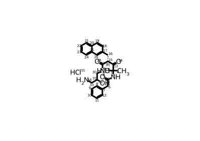 CC(C)(NC(=O)Cc1ccccc1)C(=O)[C@@H](Cc1ccc2ccccc2c1)C(=O)NCC(O)CN.Cl